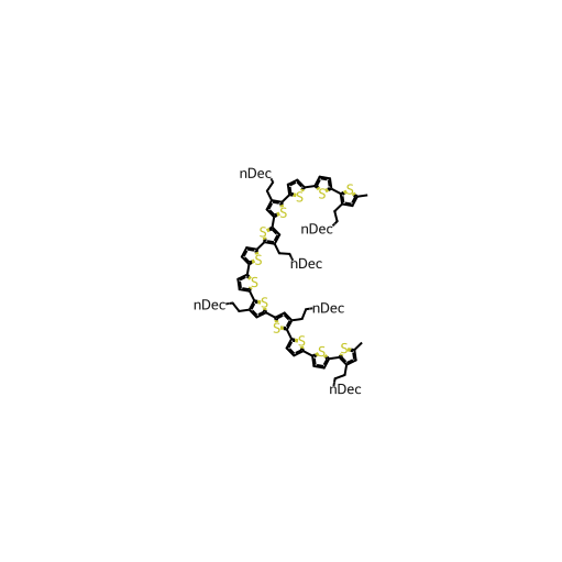 CCCCCCCCCCCCc1cc(C)sc1-c1ccc(-c2ccc(-c3sc(-c4cc(CCCCCCCCCCCC)c(-c5ccc(-c6ccc(-c7sc(-c8cc(CCCCCCCCCCCC)c(-c9ccc(-c%10ccc(-c%11sc(C)cc%11CCCCCCCCCCCC)s%10)s9)s8)cc7CCCCCCCCCCCC)s6)s5)s4)cc3CCCCCCCCCCCC)s2)s1